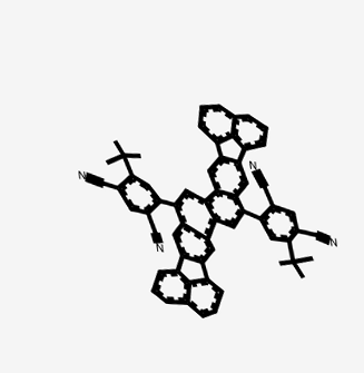 CC(C)(C)c1cc(-c2cc3c4cc5c(cc4c(-c4cc(C(C)(C)C)c(C#N)cc4C#N)cc3c3cc4c(cc23)-c2cccc3cccc-4c23)-c2cccc3cccc-5c23)c(C#N)cc1C#N